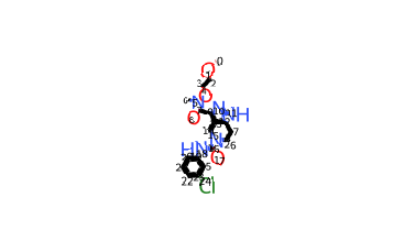 COCCON(C)C(=O)c1n[nH]c2c1CN(C(=O)Nc1cccc(Cl)c1)CC2